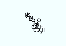 Cc1nc(C)c(-c2ccc3cc(-c4c(C5CCCCC5)nc(C=CC(=O)O)n4CC(=O)O)ccc3n2)s1